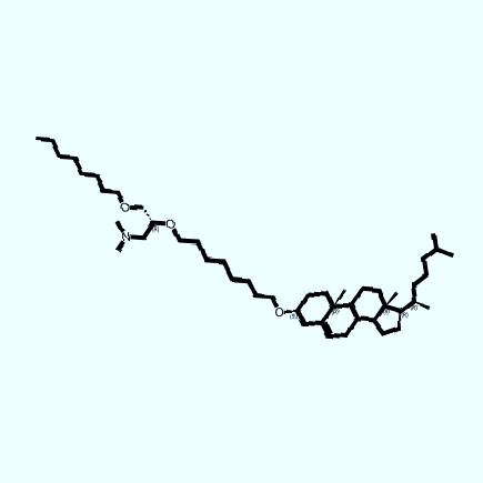 CCCCCCCCOC[C@@H](CN(C)C)OCCCCCCCCO[C@H]1CC[C@@]2(C)C(=CCC3C2CC[C@@]2(C)C3CC[C@@H]2[C@H](C)CCCC(C)C)C1